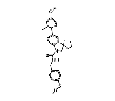 CCOc1ccc(-c2ccc3c(c2)C2(CCCC2)CN3C(=O)NCc2ccc(SN)cc2)c(C)c1